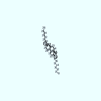 CCCCCCCCOc1ccc2c(ccc3nc(OCCCCCCC)ccc32)n1